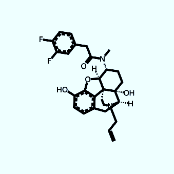 C=CCN1CC[C@]23c4c5ccc(O)c4O[C@H]2[C@H](N(C)C(=O)Cc2ccc(F)c(F)c2)CC[C@@]3(O)[C@H]1C5